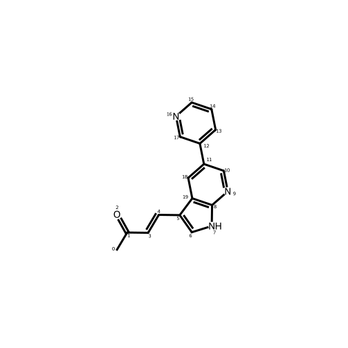 CC(=O)C=Cc1c[nH]c2ncc(-c3cccnc3)cc12